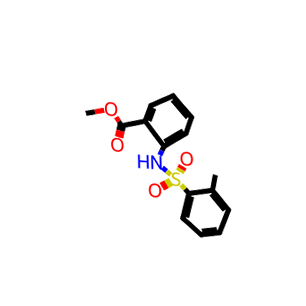 COC(=O)c1ccccc1NS(=O)(=O)c1ccccc1C